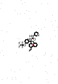 O=C(Nc1cccnc1)N[C@@](Cc1ccccc1)(c1cccc(OC(F)(F)C(F)F)c1)c1ccc(CI)cn1